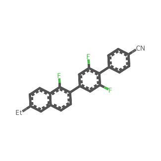 CCc1ccc2c(F)c(-c3cc(F)c(-c4ccc(C#N)cc4)c(F)c3)ccc2c1